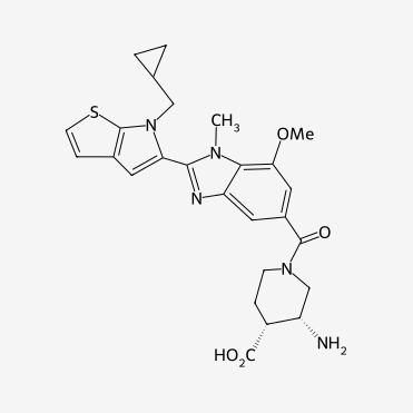 COc1cc(C(=O)N2CC[C@@H](C(=O)O)[C@@H](N)C2)cc2nc(-c3cc4ccsc4n3CC3CC3)n(C)c12